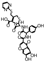 O=C(O)C1=C(CSc2ncccn2)CS[C@H]2[C@H](NC(=O)C(NC(=O)c3coc4cc(O)c(O)cc4c3=O)c3ccc(O)cc3)C(=O)N12